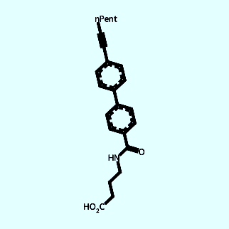 CCCCCC#Cc1ccc(-c2ccc(C(=O)NCCCC(=O)O)cc2)cc1